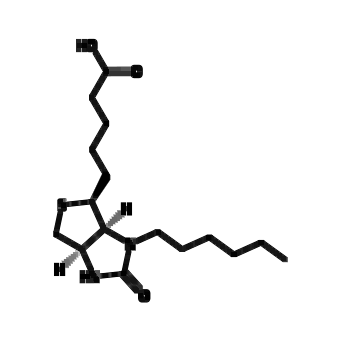 CCCCCCN1C(=O)N[C@H]2CS[C@@H](CCCCC(=O)O)[C@H]21